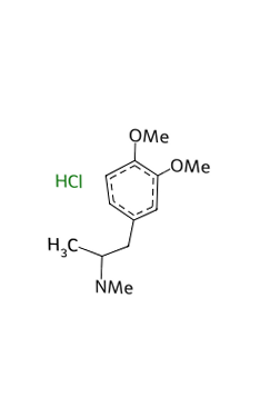 CNC(C)Cc1ccc(OC)c(OC)c1.Cl